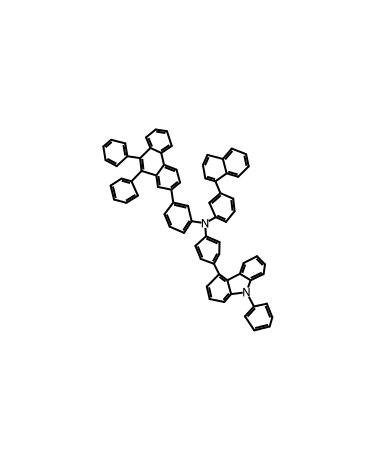 c1ccc(-c2c(-c3ccccc3)c3cc(-c4cccc(N(c5ccc(-c6cccc7c6c6ccccc6n7-c6ccccc6)cc5)c5cccc(-c6cccc7ccccc67)c5)c4)ccc3c3ccccc23)cc1